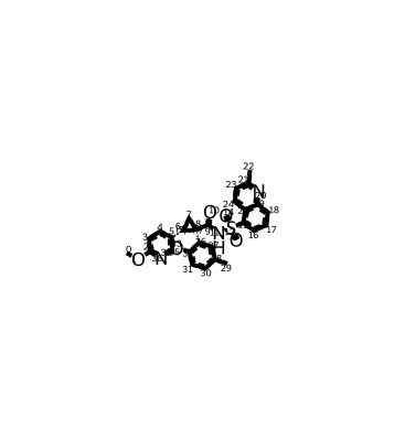 COc1ccc([C@@H]2C[C@]2(C(=O)NS(=O)(=O)c2cccc3nc(C)ccc23)c2cc(C)ccc2OC)cn1